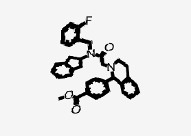 COC(=O)c1ccc(C2c3ccccc3CCN2CC(=O)N(Cc2ccccc2F)C2Cc3ccccc3C2)cc1